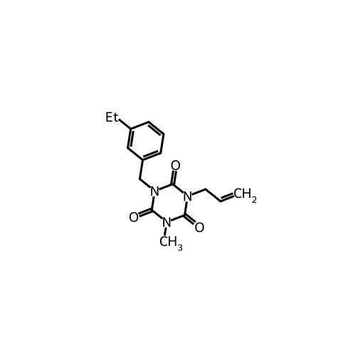 C=CCn1c(=O)n(C)c(=O)n(Cc2cccc(CC)c2)c1=O